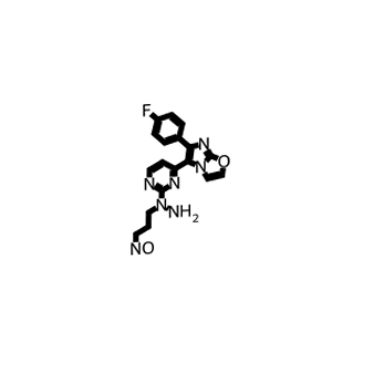 NN(CCCN=O)c1nccc(-c2c(-c3ccc(F)cc3)nc3occn23)n1